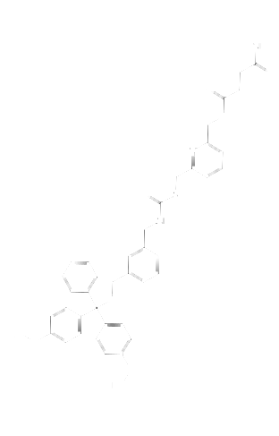 COc1ccc(C(OCc2cccc(CNC(=O)NCc3cccc(COC(=O)CCC(N)=O)n3)c2)(c2ccccc2)c2ccc(OC)cc2)cc1